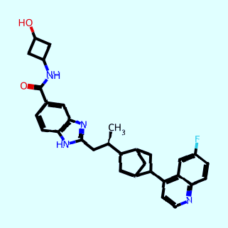 C[C@H](Cc1nc2cc(C(=O)NC3CC(O)C3)ccc2[nH]1)C1CC2CC1CC2c1ccnc2ccc(F)cc12